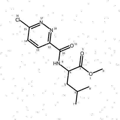 COC(=O)C(CC(C)C)NC(=O)c1ccc(Cl)nn1